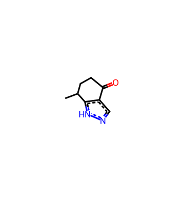 CC1CCC(=O)c2cn[nH]c21